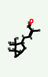 CC(C=O)=CCC1CC2CC2(C)C1(C)C